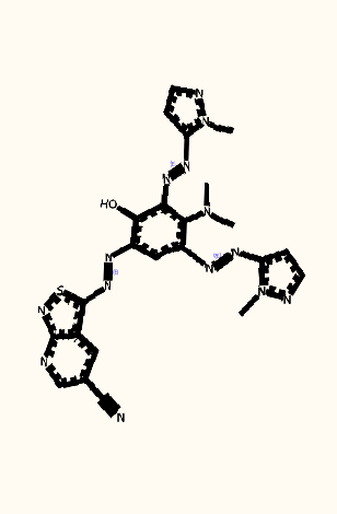 CN(C)c1c(/N=N/c2ccnn2C)cc(/N=N/c2snc3ncc(C#N)cc23)c(O)c1/N=N/c1ccnn1C